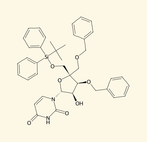 CC(C)(C)[Si](OC[C@]1(COCc2ccccc2)O[C@@H](n2ccc(=O)[nH]c2=O)[C@H](O)[C@@H]1OCc1ccccc1)(c1ccccc1)c1ccccc1